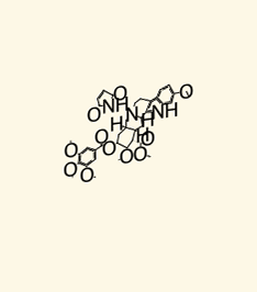 COC(=O)[C@H]1[C@H]2C[C@@H]3c4[nH]c5cc(OC)ccc5c4CCN3C[C@H]2C[C@@H](OC(=O)c2cc(OC)c(OC)c(OC)c2)[C@@H]1OC.O=C1C=CC(=O)N1